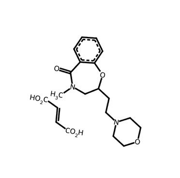 CN1CC(CCN2CCOCC2)Oc2ccccc2C1=O.O=C(O)/C=C/C(=O)O